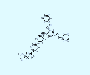 CC(C)(C)OC(=O)N1CC=C(c2ccc(Nc3ccc(OCc4ccccc4)nc3OCc3ccccc3)nc2)CC1